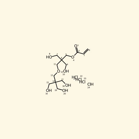 C=CC(=O)OCC(CO)(CO)COCC(CO)(CO)CO.Cl.Cl.Cl.Cl